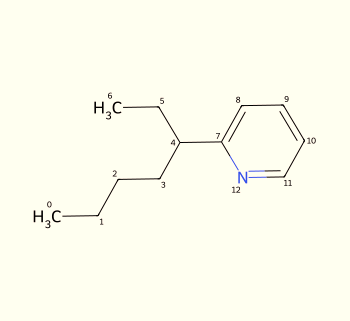 CCCCC(CC)c1ccccn1